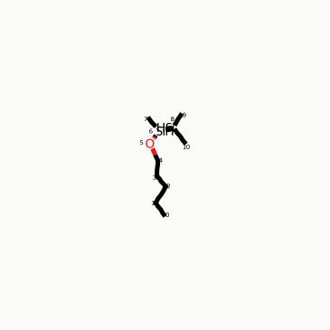 CCCCCO[SiH](C)[SiH](C)C